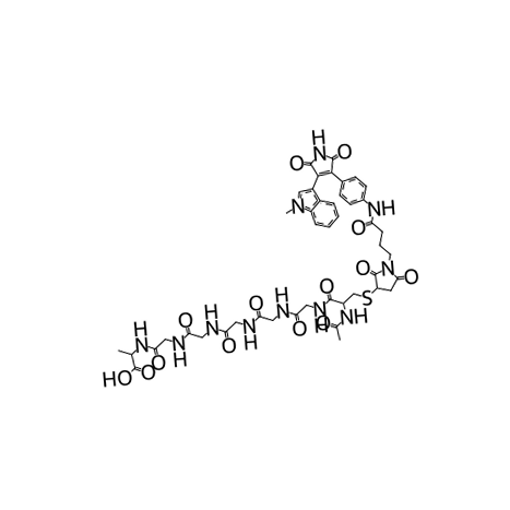 CC(=O)NC(CSC1CC(=O)N(CCCC(=O)Nc2ccc(C3=C(c4cn(C)c5ccccc45)C(=O)NC3=O)cc2)C1=O)C(=O)NCC(=O)NCC(=O)NCC(=O)NCC(=O)NCC(=O)NC(C)C(=O)O